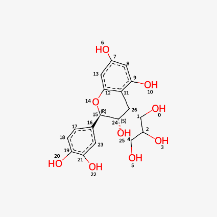 OCC(O)CO.Oc1cc(O)c2c(c1)O[C@H](c1ccc(O)c(O)c1)[C@@H](O)C2